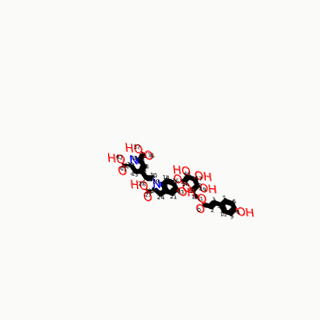 O=C(/C=C/c1ccc(O)cc1)OC[C@H]1O[C@@H](Oc2cc3c(cc2O)C[C@H](C(=O)O)N3/C=C/C2=CC(C(=O)O)=N[C@H](C(=O)O)C2)[C@H](O)[C@@H](O)[C@@H]1O